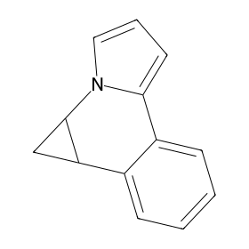 c1ccc2c(c1)-c1cccn1C1CC21